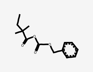 CCC(C)(C)C(=O)OC(=O)OCc1ccccc1